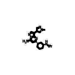 CC(C)N[C@@H]1CCC[C@H](c2cc(N)n3ncc(C4C=NN(C)C4)c3n2)C1